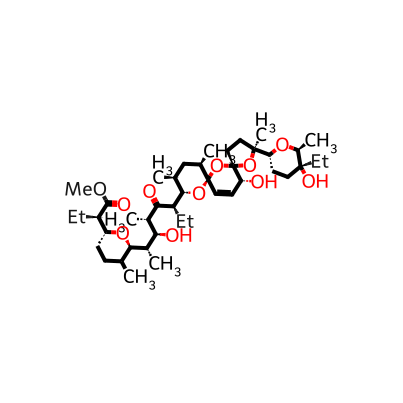 CC[C@@H](C(=O)[C@@H](C)[C@@H](O)[C@H](C)[C@@H]1O[C@@H]([C@@H](CC)C(=O)OC)CCC1C)[C@H]1O[C@@]2(C=C[C@@H](O)[C@]3(CC[C@@](C)([C@H]4CC[C@](O)(CC)[C@H](C)O4)O3)O2)[C@H](C)C[C@@H]1C